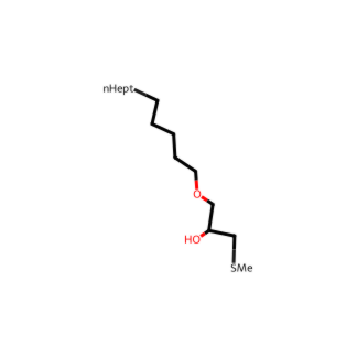 CCCCCCCCCCCCOCC(O)CSC